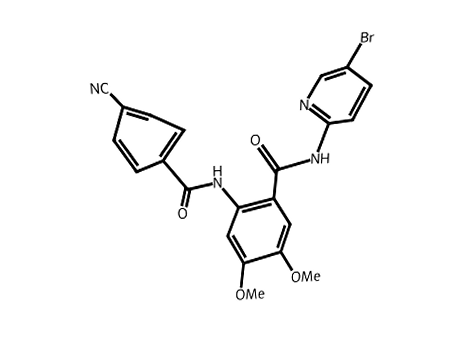 COc1cc(NC(=O)c2ccc(C#N)cc2)c(C(=O)Nc2ccc(Br)cn2)cc1OC